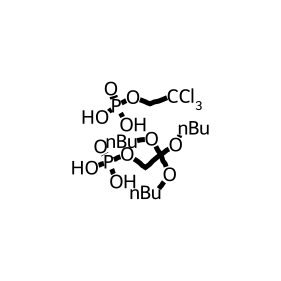 CCCCOC(COP(=O)(O)O)(OCCCC)OCCCC.O=P(O)(O)OCC(Cl)(Cl)Cl